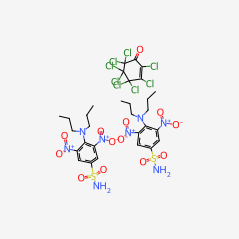 CCCN(CCC)c1c([N+](=O)[O-])cc(S(N)(=O)=O)cc1[N+](=O)[O-].CCCN(CCC)c1c([N+](=O)[O-])cc(S(N)(=O)=O)cc1[N+](=O)[O-].O=C1C(Cl)=C(Cl)C(Cl)(Cl)C(Cl)(Cl)C1(Cl)Cl